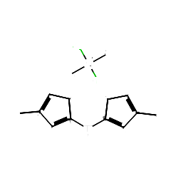 CC1=CC[C]([Ti][C]2=CC(C)=CC2)=C1.C[Si](C)(Cl)Cl